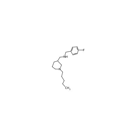 CCCCCN1CCCC(CNCc2ccc(F)cc2)C1